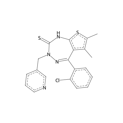 Cc1sc2c(c1C)C(c1ccccc1Cl)=NN(Cc1cccnc1)C(=S)N2